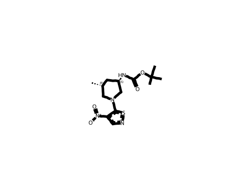 C[C@@H]1C[C@H](NC(=O)OC(C)(C)C)CN(c2sncc2[N+](=O)[O-])C1